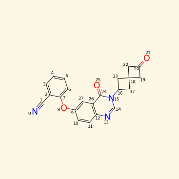 N#Cc1ccccc1Oc1ccc2ncn(C3CC4(CC(=O)C4)C3)c(=O)c2c1